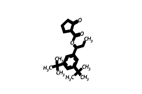 CCC(OC(=O)C1CCCC1=O)c1cc(C(C)(C)C)cc(C(C)(C)C)c1